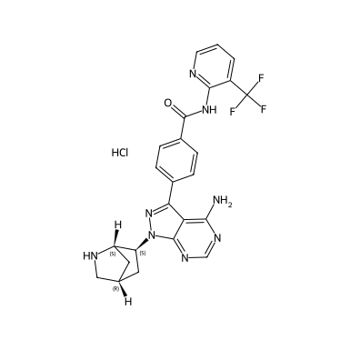 Cl.Nc1ncnc2c1c(-c1ccc(C(=O)Nc3ncccc3C(F)(F)F)cc1)nn2[C@H]1C[C@@H]2CN[C@H]1C2